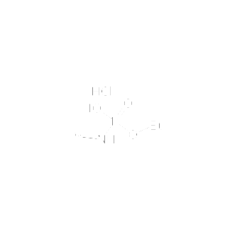 CCOP(=O)(O)NC(C)C.Cl